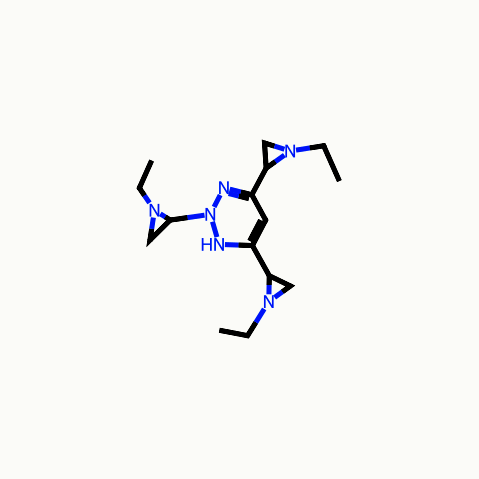 CCN1CC1C1=CC(C2CN2CC)=NN(C2CN2CC)N1